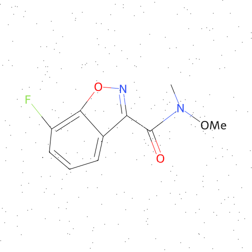 CON(C)C(=O)c1noc2c(F)cccc12